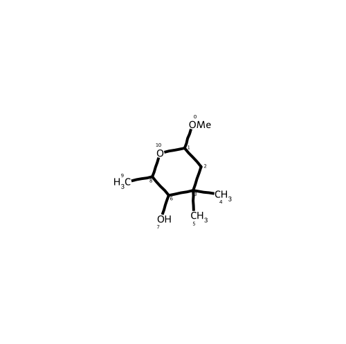 COC1CC(C)(C)C(O)C(C)O1